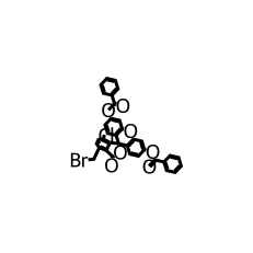 O=C(Oc1ccc2c(c1)Oc1cc(OC(=O)c3ccccc3)ccc1C21OC(=O)c2c(CBr)ccc(Cl)c21)c1ccccc1